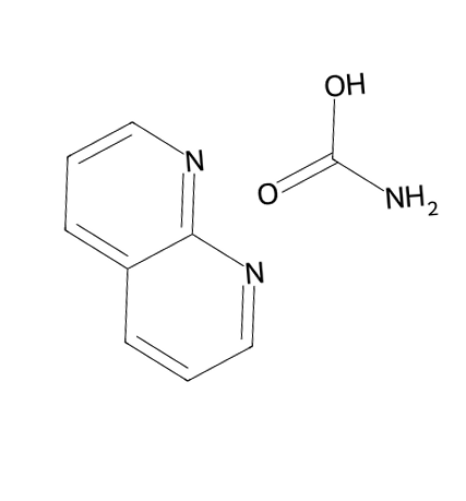 NC(=O)O.c1cnc2ncccc2c1